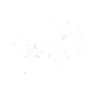 c1ccc(-c2nc(-c3ccccc3)nc(-c3cc(-c4cccnc4)cc(-c4cccc5c4oc4c(-c6ccccc6)cccc45)c3)n2)cc1